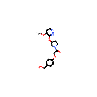 COc1ccnnc1OC1CCN(C(=O)COc2ccc(CO)cc2)C1